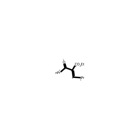 CCCC(=O)C(=CC(C)C)C(=O)OCC